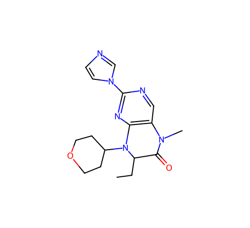 CCC1C(=O)N(C)c2cnc(-n3ccnc3)nc2N1C1CCOCC1